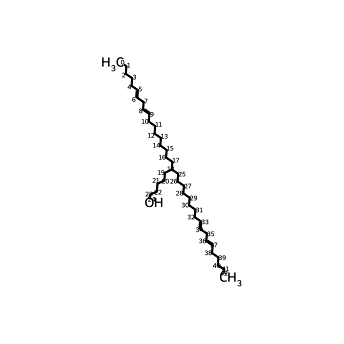 CCCCCC=CCC=CCCCCCCCCC(CCCCCO)CCCCCCCCC=CCC=CCCCCC